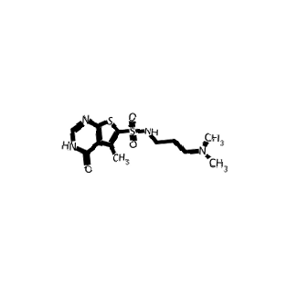 Cc1c(S(=O)(=O)NCCCN(C)C)sc2nc[nH]c(=O)c12